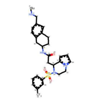 CC(C)(C)NCc1ccc2c(c1)CCC(NC(=O)CC1c3cccn3CCN1S(=O)(=O)c1cccc(C(F)(F)F)c1)C2